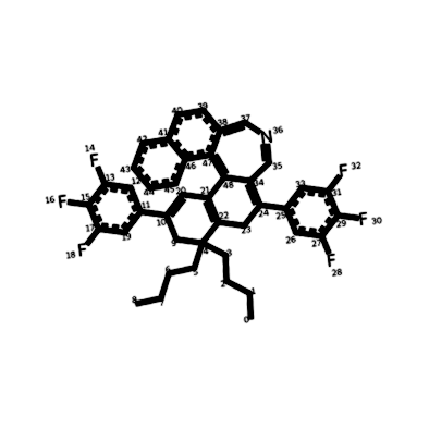 CCCCC1(CCCC)CC(c2cc(F)c(F)c(F)c2)=CC2=C1CC(c1cc(F)c(F)c(F)c1)=C1C=NC=c3ccc4ccccc4c3=C12